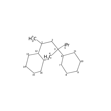 CC(CC(C)(C(C)C)C1CCCCC1)C1CCCCC1